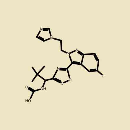 CC(C)(C)C(NC(=O)O)c1noc(-c2c3cc(F)ccc3nn2CCn2ccnc2)n1